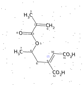 C=C(C)C(=O)OC(C)C/C(=C/C(=O)O)C(=O)O